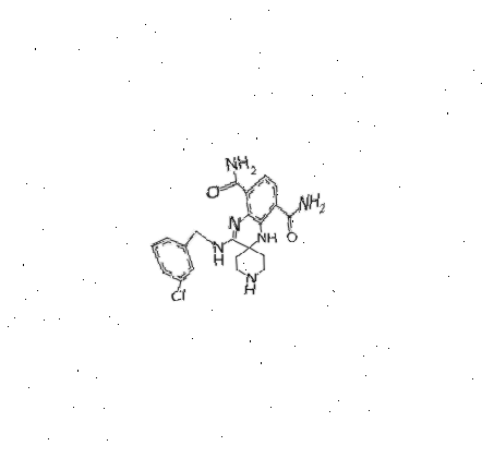 NC(=O)c1ccc(C(N)=O)c2c1N=C(NCc1cccc(Cl)c1)C1(CCNCC1)N2